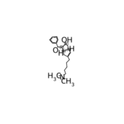 CN(C)CCCCCC1=C[C@H]2C[C@@H](O)[C@H](C(=O)c3ccccc3)[C@H]2C1